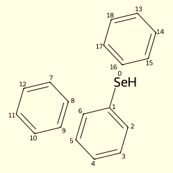 [SeH]c1ccccc1.c1ccccc1.c1ccccc1